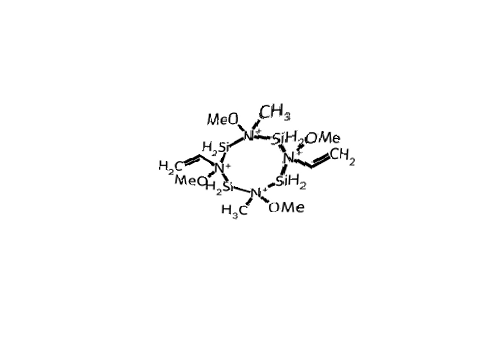 C=C[N+]1(OC)[SiH2][N+](C)(OC)[SiH2][N+](C=C)(OC)[SiH2][N+](C)(OC)[SiH2]1